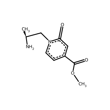 COC(=O)c1ccn(C[C@H](C)N)c(=O)c1